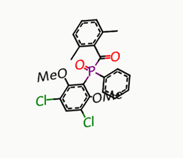 COc1c(Cl)cc(Cl)c(OC)c1P(=O)(C(=O)c1c(C)cccc1C)c1ccccc1